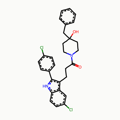 O=C(CCc1c(-c2ccc(Cl)cc2)[nH]c2ccc(Cl)cc12)N1CCC(O)(Cc2ccccc2)CC1